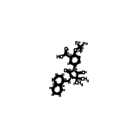 CC1(C)C(=O)N(c2ccc(OC(F)(F)F)c(C(=O)O)c2)C(=O)N1Cc1ccnc2ccccc12